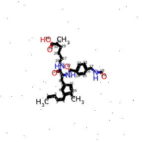 C/C=C\C=C/c1cc(CC(NC(=O)c2ccc(CNC=O)cc2)C(=O)NCCCCC(C)C(=O)O)ccc1C